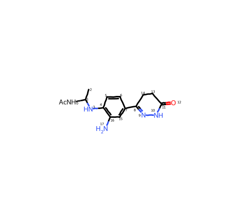 CC(=O)NC(C)Nc1ccc(C2=NNC(=O)CC2)cc1N